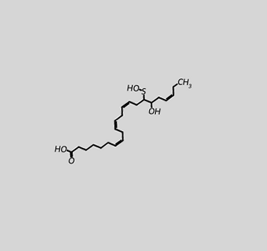 CC/C=C\CC(O)C(C/C=C\C/C=C\C/C=C\CCCCCC(=O)O)SO